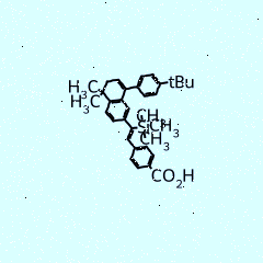 CC(C)(C)c1ccc(C2=CCC(C)(C)c3ccc(C(=Cc4ccc(C(=O)O)cc4)[Si](C)(C)C)cc32)cc1